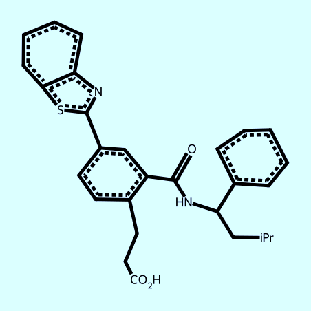 CC(C)CC(NC(=O)c1cc(-c2nc3ccccc3s2)ccc1CCC(=O)O)c1ccccc1